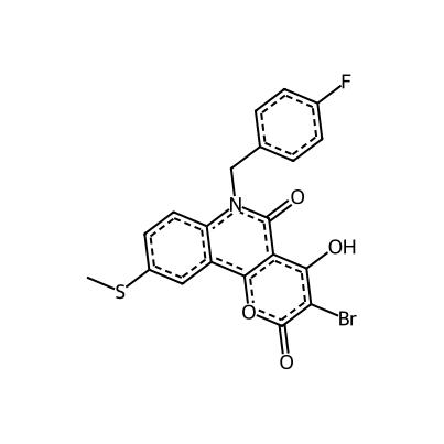 CSc1ccc2c(c1)c1oc(=O)c(Br)c(O)c1c(=O)n2Cc1ccc(F)cc1